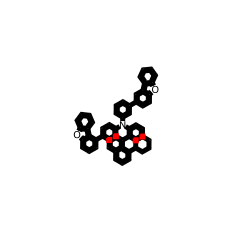 c1cc(-c2ccc3oc4ccccc4c3c2)cc(N(c2ccc(-c3cccc4oc5ccccc5c34)cc2)c2ccccc2-c2cccc3cccc(C4CCCCC4)c23)c1